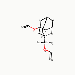 C=COC12CC3CC(C1)CC(C(C)(C)OC=C)(C3)C2